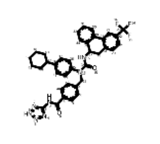 O=C(Nc1nn[nH]n1)c1ccc(CN(C(=O)NC2Cc3ccc(C(F)(F)F)cc3-c3ccccc32)c2ccc(C3CCCCC3)cc2)cc1